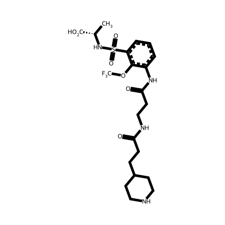 C[C@H](NS(=O)(=O)c1cccc(NC(=O)CCNC(=O)CCC2CCNCC2)c1OC(F)(F)F)C(=O)O